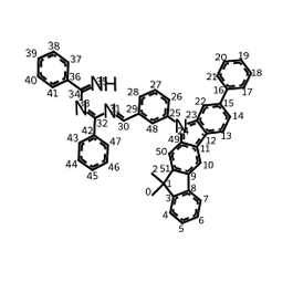 CC1(C)c2ccccc2-c2cc3c4ccc(-c5ccccc5)cc4n(-c4cccc(/C=N/C(=N\C(=N)c5ccccc5)c5ccccc5)c4)c3cc21